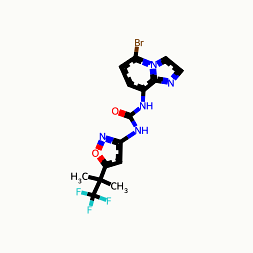 CC(C)(c1cc(NC(=O)Nc2ccc(Br)n3ccnc23)no1)C(F)(F)F